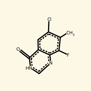 Cc1c(Cl)cc2c(=O)[nH]cnc2c1F